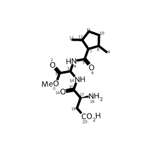 COC(=O)C(NC(=O)C1C(C)CCC1C)NC(=O)[C@@H](N)CC(=O)O